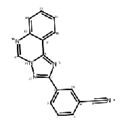 N#Cc1cccc(-c2nc3c4ccccc4ncn3n2)c1